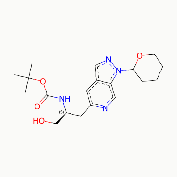 CC(C)(C)OC(=O)N[C@H](CO)Cc1cc2cnn(C3CCCCO3)c2cn1